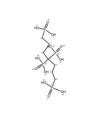 O=P(O)(O)CCCC(CCCP(=O)(O)O)(P(=O)(O)O)P(=O)(O)O